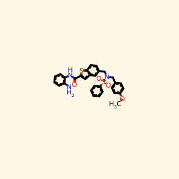 COc1ccc(CN(Cc2ccc3sc(C(=O)Nc4ccccc4N)cc3c2)S(=O)(=O)c2ccccc2)cc1